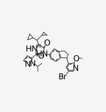 COc1ncc(Br)cc1C1CCc2cc(NC(=O)[C@@H](NC(=O)c3ccnn3C(C)C)C(C3CC3)C3CC3)ccc21